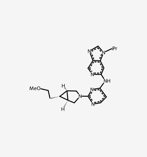 COCC[C@@H]1[C@H]2CN(c3nccc(Nc4cc5c(cn4)ncn5C(C)C)n3)C[C@@H]12